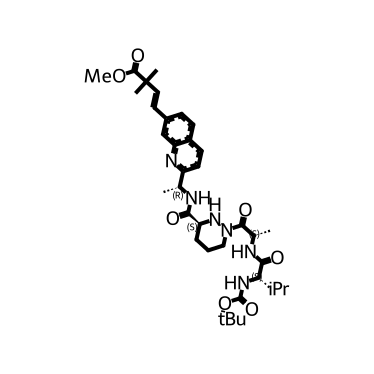 COC(=O)C(C)(C)C=Cc1ccc2ccc([C@@H](C)NC(=O)[C@@H]3CCCN(C(=O)[C@H](C)NC(=O)[C@@H](NC(=O)OC(C)(C)C)C(C)C)N3)nc2c1